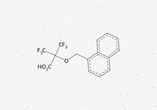 O=C(O)C(OCc1cccc2ccccc12)(C(F)(F)F)C(F)(F)F